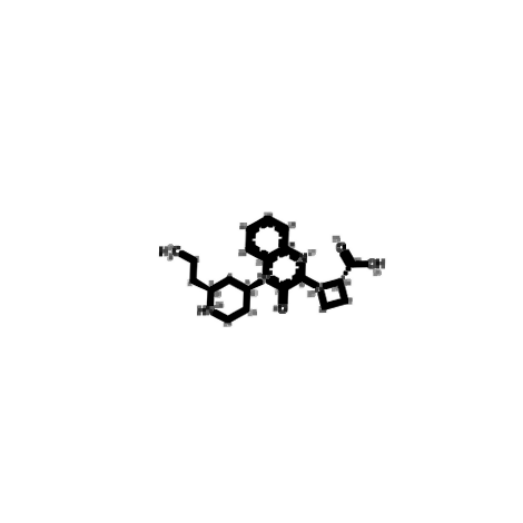 CCC[C@H]1C[C@@H](n2c(=O)c(N3CC[C@H]3C(=O)O)nc3ccccc32)CCN1